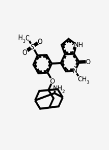 Cn1cc(-c2cc(S(C)(=O)=O)ccc2OC23CC4CC(C2)C(N)C(C4)C3)c2cc[nH]c2c1=O